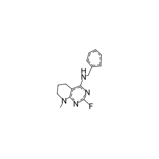 CN1CCCc2c(NCc3ccccc3)nc(F)nc21